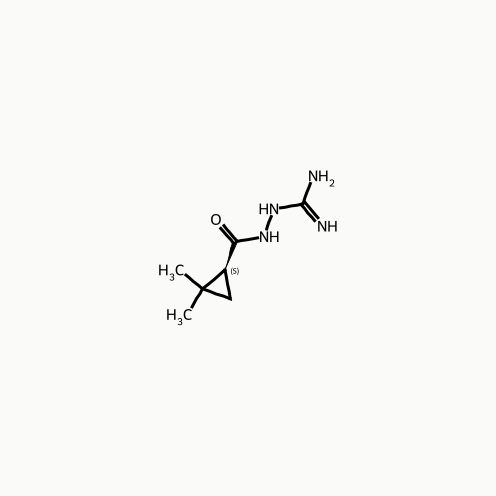 CC1(C)C[C@@H]1C(=O)NNC(=N)N